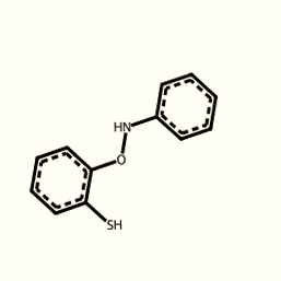 Sc1ccccc1ONc1ccccc1